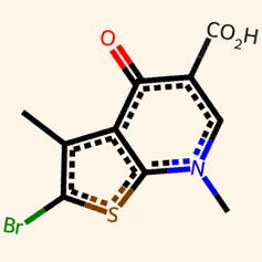 Cc1c(Br)sc2c1c(=O)c(C(=O)O)cn2C